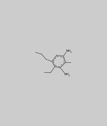 CCCc1cc(N)c(C)c(N)c1CC